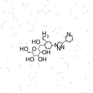 Cc1cc(-n2cc(-c3cccnc3)nn2)ccc1[C@@H](O)[C@H]1O[C@H](CO)[C@@H](O)[C@H](O)[C@@H]1O